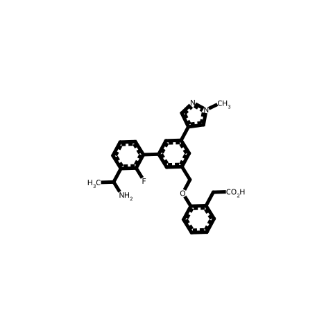 CC(N)c1cccc(-c2cc(COc3ccccc3CC(=O)O)cc(-c3cnn(C)c3)c2)c1F